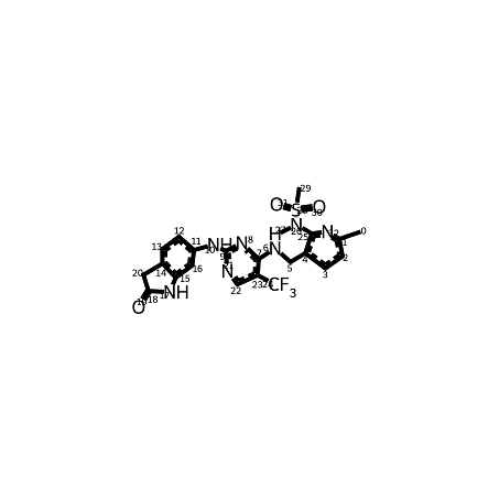 Cc1ccc(CNc2nc(Nc3ccc4c(c3)NC(=O)C4)ncc2C(F)(F)F)c(N(C)S(C)(=O)=O)n1